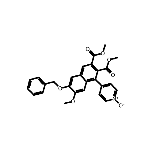 COC(=O)c1cc2cc(OCc3ccccc3)c(OC)cc2c(-c2cc[n+]([O-])cc2)c1C(=O)OC